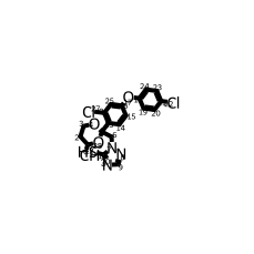 CC1CCOC(Cn2ncnc2S)(c2ccc(Oc3ccc(Cl)cc3)cc2Cl)O1